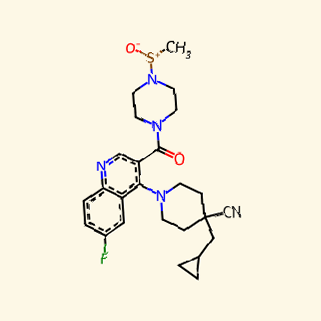 C[S+]([O-])N1CCN(C(=O)c2cnc3ccc(F)cc3c2N2CCC(C#N)(CC3CC3)CC2)CC1